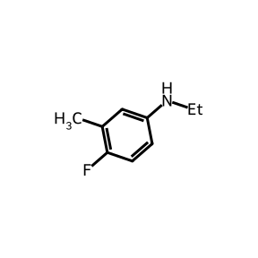 CCNc1ccc(F)c(C)c1